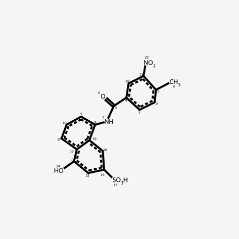 Cc1ccc(C(=O)Nc2cccc3c(O)cc(S(=O)(=O)O)cc23)cc1[N+](=O)[O-]